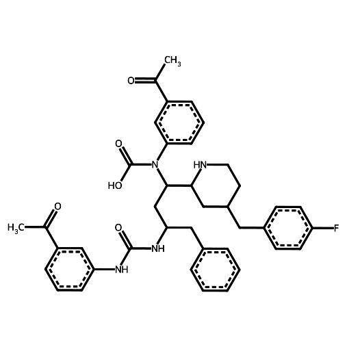 CC(=O)c1cccc(NC(=O)NC(Cc2ccccc2)CC(C2CC(Cc3ccc(F)cc3)CCN2)N(C(=O)O)c2cccc(C(C)=O)c2)c1